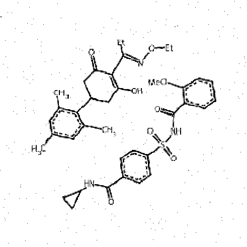 CCO/N=C(\CC)C1=C(O)CC(c2c(C)cc(C)cc2C)CC1=O.COc1ccccc1C(=O)NS(=O)(=O)c1ccc(C(=O)NC2CC2)cc1